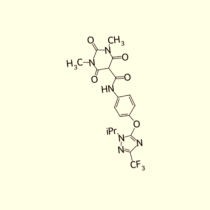 CC(C)n1nc(C(F)(F)F)nc1Oc1ccc(NC(=O)C2C(=O)N(C)C(=O)N(C)C2=O)cc1